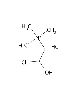 C[N+](C)(C)CC(O)Cl.Cl